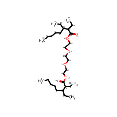 CCCCCC(CC)C(CC)C(=O)OCCOCCOCCOC(=O)C(CC)C(CC)CCCCC